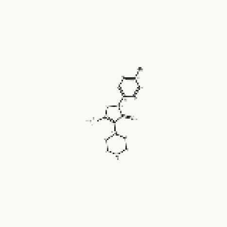 CCOC(=O)C1=C(N2CCOCC2)C(=O)N(c2ccc(Br)cc2)C1